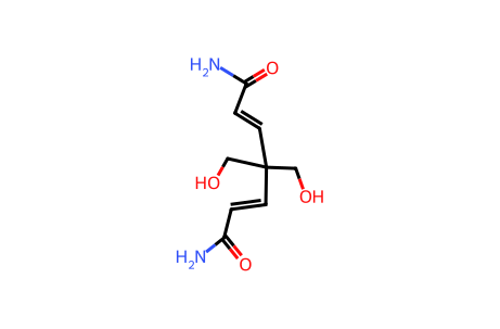 NC(=O)C=CC(C=CC(N)=O)(CO)CO